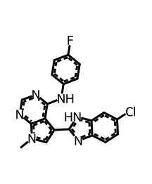 Cn1cc(-c2nc3ccc(Cl)cc3[nH]2)c2c(Nc3ccc(F)cc3)ncnc21